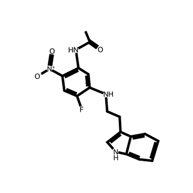 CC(=O)Nc1cc(NCCc2c[nH]c3ccccc23)c(F)cc1[N+](=O)[O-]